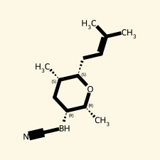 CC(C)=CC[C@@H]1O[C@H](C)[C@H](BC#N)C[C@@H]1C